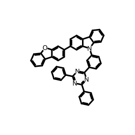 c1ccc(-c2nc(-c3ccccc3)nc(-c3cccc(-n4c5ccccc5c5ccc(-c6ccc7c(c6)oc6ccccc67)cc54)c3)n2)cc1